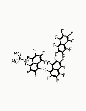 Fc1c(F)c(F)c2c(F)c(F)c(F)c(F)c2c1F.Fc1c(F)c(F)c2c(F)c(F)c(F)c(F)c2c1F.Fc1c(F)c(F)c2c(F)c(F)c(F)c(F)c2c1F.OB(O)O